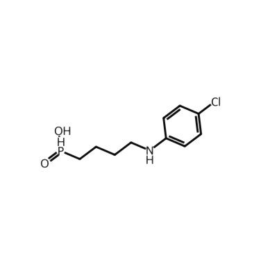 O=[PH](O)CCCCNc1ccc(Cl)cc1